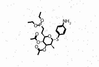 CCOP(CC[C@H]1O[C@H](Sc2ccc(N)cc2)[C@@H](C)[C@@H](OC(C)=O)[C@@H]1OC(C)=O)OCC